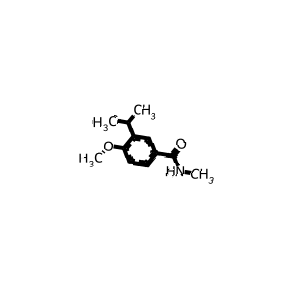 CNC(=O)c1ccc(OC)c(C(C)C)c1